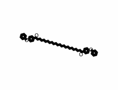 O=C(CCCCCCCCCCCCCCCCCCCCCCC(=O)c1ccc(Oc2ccccc2)cc1)c1ccc(Oc2ccccc2)cc1